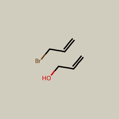 C=CCBr.C=CCO